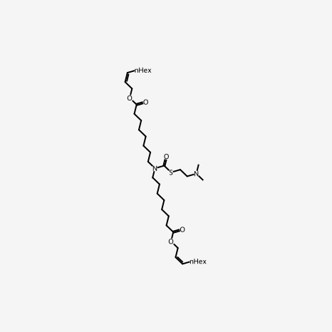 CCCCCC/C=C\COC(=O)CCCCCCCN(CCCCCCCC(=O)OC/C=C\CCCCCC)C(=O)SCCN(C)C